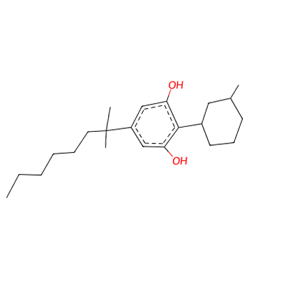 CCCCCCC(C)(C)c1cc(O)c(C2CCCC(C)C2)c(O)c1